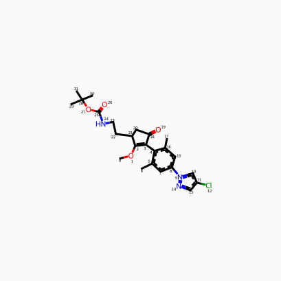 COC1=C(c2c(C)cc(-n3cc(Cl)cn3)cc2C)C(=O)CC1CCNC(=O)OC(C)(C)C